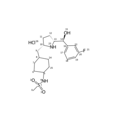 CS(=O)(=O)NC1CCC(C[C@@H]2CC[C@H]([C@@H](O)c3cccc(F)c3)N2)CC1.Cl